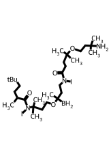 BC(C)(CCN(I)C(=O)CCC(C)(C)OCCC(C)(C)N)OCCC(C)(C)N(I)C(=O)C(C)CCC(C)(C)C